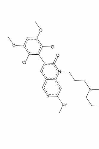 C=CCN1CCN(CCCn2c(=O)c(-c3c(Cl)c(OC)cc(OC)c3Cl)cc3cnc(NC)cc32)CC1